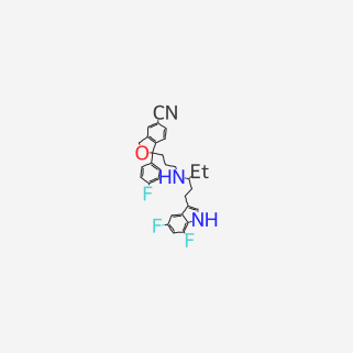 CCC(CCc1c[nH]c2c(F)cc(F)cc12)NCCCC1(c2ccc(F)cc2)OCc2cc(C#N)ccc21